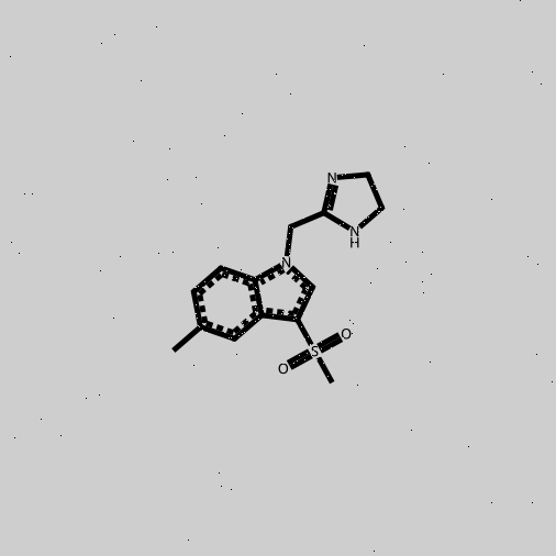 Cc1ccc2c(c1)c(S(C)(=O)=O)cn2CC1=NCCN1